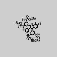 Cc1c(Cl)ccc2c(N3CC(NC(=O)OC(C)(C)C)CC(NC(=O)OC(C)(C)C)C3)c(-c3ccccc3)c(N3CC(NC(=O)OC(C)(C)C)CC(NC(=O)OC(C)(C)C)C3)nc12